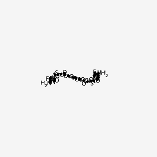 Nc1nc(=O)n([C@@H]2CS[C@H](COC(=O)OCCOCCOCCOC(=O)OC[C@@H]3O[C@H](n4cc(F)c(N)nc4=O)CS3)O2)cc1F